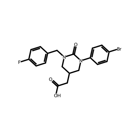 O=C(O)CC1CN(Cc2ccc(F)cc2)C(=O)N(c2ccc(Br)cc2)C1